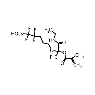 C=C(C)C(=O)OC(OCCCC(F)(F)C(F)(F)S(=O)(=O)O)(C(=O)NCC(F)(F)F)C(F)(F)F